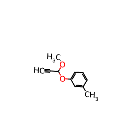 C#CC(OC)Oc1cccc(C)c1